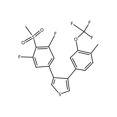 Cc1ccc(-c2cscc2-c2cc(F)c(S(C)(=O)=O)c(F)c2)cc1OC(F)(F)F